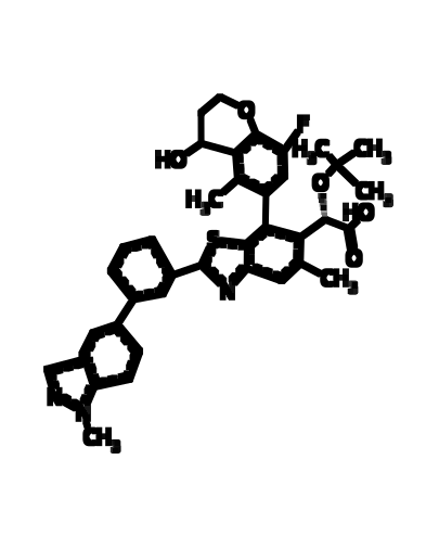 Cc1cc2nc(-c3cccc(-c4ccc5c(cnn5C)c4)c3)sc2c(-c2cc(F)c3c(c2C)C(O)CCO3)c1[C@H](OC(C)(C)C)C(=O)O